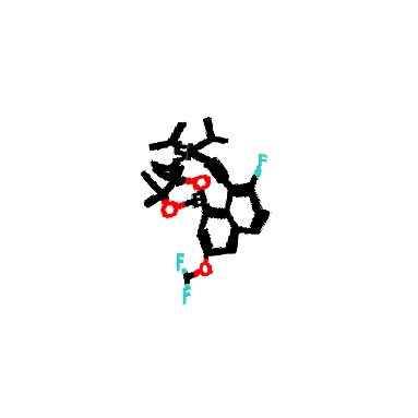 CC(C)[Si](C#Cc1c(F)ccc2cc(OC(F)F)cc(B3OC(C)(C)C(C)(C)O3)c12)(C(C)C)C(C)C